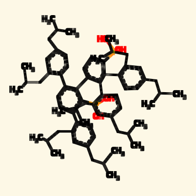 CC(C)Cc1ccc(-c2ccc(-c3ccc(CC(C)C)cc3CC(C)C)c(P(O)O)c2-c2ccc(P(O)O)c(-c3ccc(CC(C)C)cc3CC(C)C)c2-c2ccc(CC(C)C)cc2CC(C)C)c(CC(C)C)c1